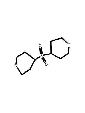 O=S(=O)(C1CCOCC1)C1CCOCC1